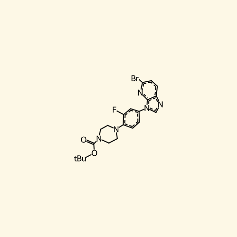 CC(C)(C)OC(=O)N1CCN(c2ccc(-n3cnc4ccc(Br)nc43)cc2F)CC1